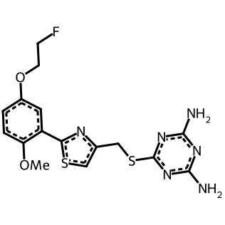 COc1ccc(OCCF)cc1-c1nc(CSc2nc(N)nc(N)n2)cs1